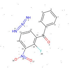 N=[N+]=N.O=C(c1ccccc1)c1cccc([N+](=O)[O-])c1F